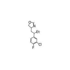 CCC(CC1CO[C]=N1)c1ccc(F)c(Cl)c1